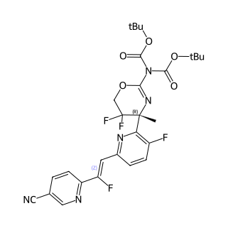 CC(C)(C)OC(=O)N(C(=O)OC(C)(C)C)C1=N[C@](C)(c2nc(/C=C(\F)c3ccc(C#N)cn3)ccc2F)C(F)(F)CO1